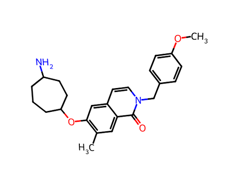 COc1ccc(Cn2ccc3cc(OC4CCCC(N)CC4)c(C)cc3c2=O)cc1